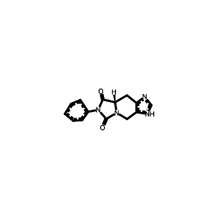 O=C1[C@@H]2Cc3nc[nH]c3CN2C(=O)N1c1ccccc1